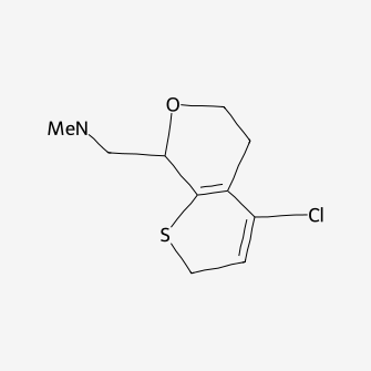 CNCC1OCCC2=C1SCC=C2Cl